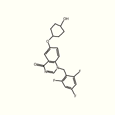 O=c1ncn(Cc2c(F)cc(F)cc2F)c2ccc(OC3CCC(O)CC3)cc12